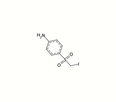 Nc1ccc(S(=O)(=O)CI)cc1